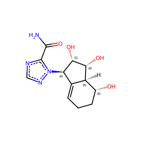 NC(=O)c1ncnn1[C@@H]1C2=CCC[C@@H](O)[C@@H]2[C@@H](O)[C@H]1O